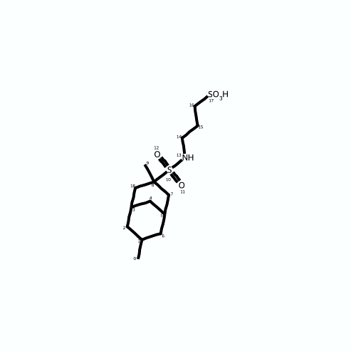 CC1CC2CC(C1)CC(C)(S(=O)(=O)NCCCS(=O)(=O)O)C2